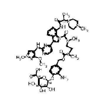 COc1nn(C)cc1Nc1nccc(-c2cn(C(=O)N(C)CCN(C)C(=O)OCc3ccc(O[C@@H]4O[C@H](C(=O)O)[C@@H](O)[C@H](O)[C@H]4O)c(N)c3)c3c(NC(=O)[C@@H](C)N4CCN(C)CC4)cccc23)n1